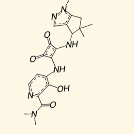 CN(C)C(=O)c1nccc(Nc2c(NC3c4cnn(C)c4CC3(C)C)c(=O)c2=O)c1O